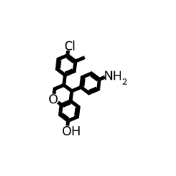 Cc1cc(C2COc3cc(O)ccc3C2c2ccc(N)cc2)ccc1Cl